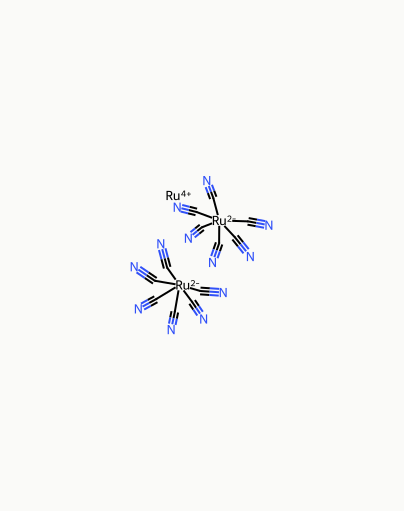 N#[C][Ru-2]([C]#N)([C]#N)([C]#N)([C]#N)[C]#N.N#[C][Ru-2]([C]#N)([C]#N)([C]#N)([C]#N)[C]#N.[Ru+4]